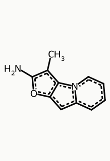 Cc1c(N)oc2cc3ccccn3c12